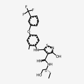 CC[C@H](CO)NC(=N)c1c(O)nsc1Nc1ccc(Oc2cccc(C(F)(F)F)c2)cc1C